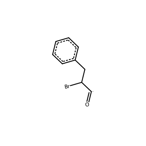 O=[C]C(Br)Cc1ccccc1